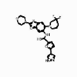 OC(Nc1cc2oc(N3CCOCC3)nc2cc1N1CCCC(F)(F)C1)c1ccc(-c2cn[nH]c2)o1